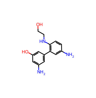 Nc1cc(O)cc(-c2cc(N)ccc2NCCO)c1